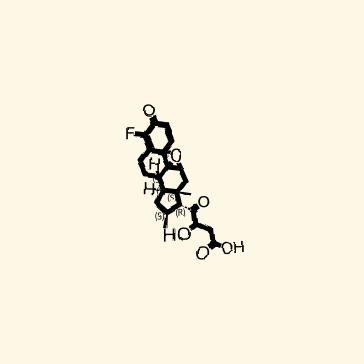 C[C@H]1C[C@H]2[C@@H]3CCC4=C(F)C(=O)C=C[C@]4(C)C34OC4C[C@]2(C)[C@@H]1C(=O)C(O)CC(=O)O